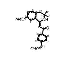 COc1ccc2c(c1)C(=CC(=O)c1ccc(NC=O)cc1)NC(C)(C)C2